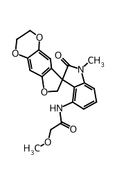 COCC(=O)Nc1cccc2c1C1(COc3cc4c(cc31)OCCO4)C(=O)N2C